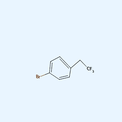 FC(F)(F)Cc1ccc(Br)cc1